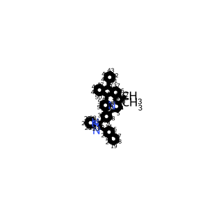 CC1(C)c2ccc(-c3ccc(-c4c(-c5ccc6ccccc6c5)nc5ccccn45)cc3)nc2-c2c1ccc1c(-c3ccccc3)c3ccccc3c(-c3ccccc3)c21